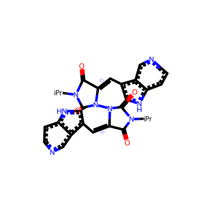 CC(C)N1C(=O)/C(=C/c2c[nH]c3ccncc23)N(N2C(=O)N(C(C)C)C(=O)/C2=C/c2c[nH]c3ccncc23)C1=O